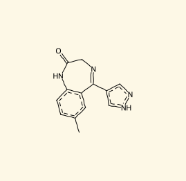 Cc1ccc2c(c1)C(c1cn[nH]c1)=NCC(=O)N2